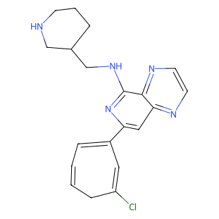 ClC1=CC(c2cc3nccnc3c(NCC3CCCNC3)n2)=CC=CC1